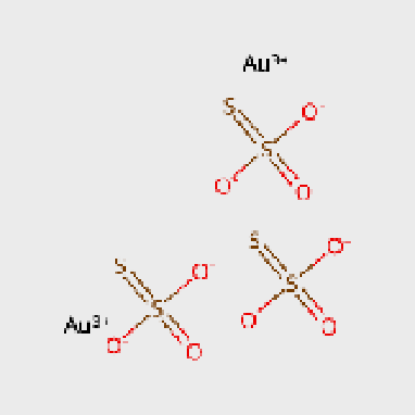 O=S([O-])([O-])=S.O=S([O-])([O-])=S.O=S([O-])([O-])=S.[Au+3].[Au+3]